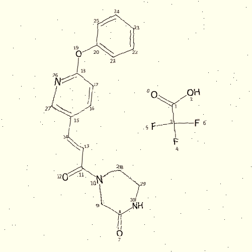 O=C(O)C(F)(F)F.O=C1CN(C(=O)C=Cc2ccc(Oc3ccccc3)nc2)CCN1